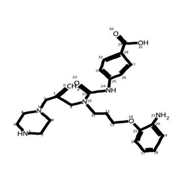 C=C(CN1CCNCC1)CN(CCCOc1ccccc1N)C(=O)Nc1ccc(C(=O)O)cc1